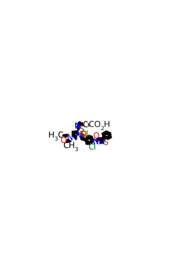 C[C@@H]1CN([C@H]2C[C@@H](c3ncc(CCC(=O)O)s3)N(C(=O)Cc3cc(Cl)c(NC(=O)c4csc5ccccc45)cc3Cl)C2)C[C@H](C)O1